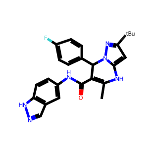 CC1=C(C(=O)Nc2ccc3[nH]ncc3c2)C(c2ccc(F)cc2)n2nc(C(C)(C)C)cc2N1